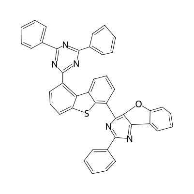 c1ccc(-c2nc(-c3ccccc3)nc(-c3cccc4sc5c(-c6nc(-c7ccccc7)nc7c6oc6ccccc67)cccc5c34)n2)cc1